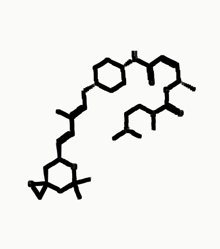 CC(/C=C/[C@@H]1C[C@]2(CO2)CC(C)(C)O1)=C\C[C@H]1CC[C@@H](NC(=O)/C=C\[C@H](C)OC(=O)N(C)CCN(C)C)CC1